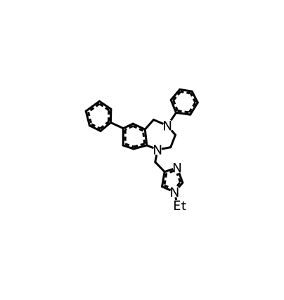 CCn1cnc(CN2CCN(c3ccccc3)Cc3cc(-c4ccccc4)ccc32)c1